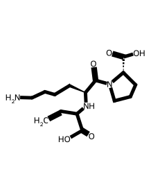 C=CC(N[C@@H](CCCCN)C(=O)N1CCC[C@H]1C(=O)O)C(=O)O